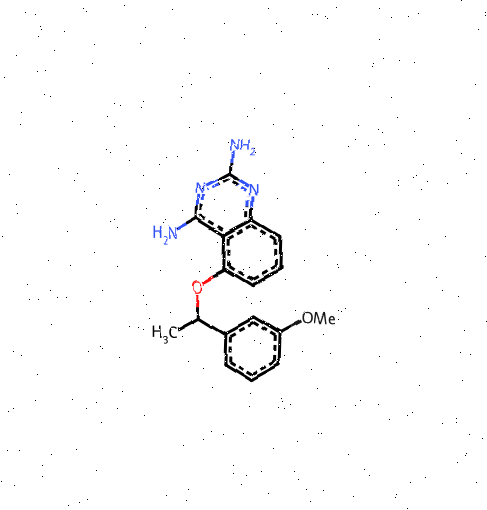 COc1cccc(C(C)Oc2cccc3nc(N)nc(N)c23)c1